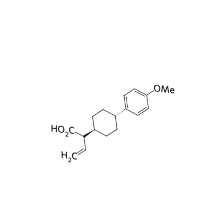 C=CC(C(=O)O)[C@H]1CC[C@H](c2ccc(OC)cc2)CC1